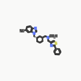 N#Cc1ccc2ncn(C[C@H]3CCCC(CN(Cc4csc(-c5ccccc5)n4)C(=O)O)C3)c2c1